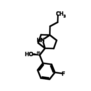 CCCC12CCC([C@H](O)c3cccc(F)c3)(CC1)N2